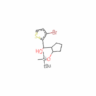 CC(C)(C)[Si](C)(C)OC1CCCC1C(O)c1sccc1Br